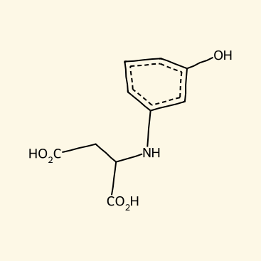 O=C(O)CC(Nc1cccc(O)c1)C(=O)O